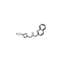 CN1CC(CNCc2ccc3ccccc3n2)C1